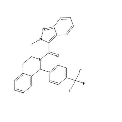 Cn1nc2ccccc2c1C(=O)N1CCc2ccccc2C1c1ccc(C(F)(F)F)cc1